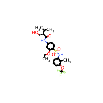 CCOc1cc(NC(=O)[C@@H](CO)C(C)C)ccc1S(=O)(=O)Nc1cccc(OC(F)(F)F)c1C